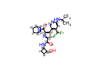 C[C@H](Nc1cc(C(F)F)c(-c2sc(C(=O)N[C@@H]3CC[C@H]3O)nc2C(=O)N2C3CCC2CC3)cn1)C(F)(F)F